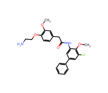 COc1cc(CC(=O)Nc2cc(-c3ccccc3)cc(F)c2OC)ccc1OCCN